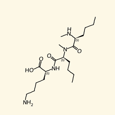 CCCC[C@H](NC)C(=O)N(C)[C@@H](CCCC)C(=O)N[C@@H](CCCCN)C(=O)O